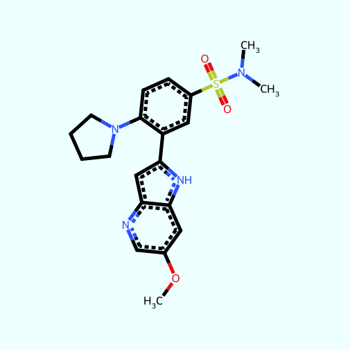 COc1cnc2cc(-c3cc(S(=O)(=O)N(C)C)ccc3N3CCCC3)[nH]c2c1